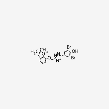 CC1(C)Cc2cccc(OCc3ncc(-c4cc(Br)c(O)c(Br)c4)nn3)c2O1